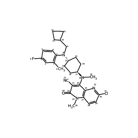 Cc1cc(F)ccc1N(CC1CCC1)[C@H]1CC[C@H](N(C)c2c(C#N)c(=O)n(C)c3ccc(Cl)nc23)CC1